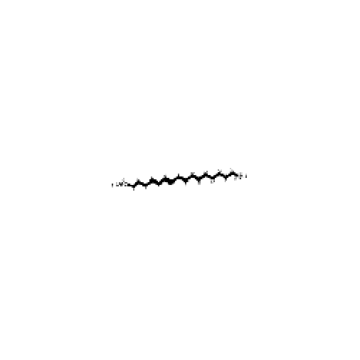 [CH2]CCCCCCCCCCCCCC/C=C/CCCCCCCCCC(C)C[CH2]